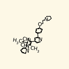 Cc1c(-c2ccnc(-c3ccc(OCCN4CCCC4)cc3)c2)nc(C(C)(C)C)n1-c1ccccn1